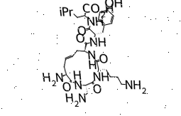 CC(C)C[C@H](NC(=O)[C@H](Cc1ccc(O)cc1)NC(=O)[C@@H]1C/C=C/C[C@H](N)C(=O)N[C@@H](CN)C(=O)N[C@@H](CCCCN)C(=O)N1)C(=O)O